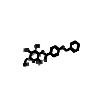 CC1O[C@H](CO)[C@@H](O)[C@H](O)[C@H]1OC(=O)c1ccc(OCc2ccccc2)cc1